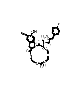 CN(C(=O)[C@H](N)Cc1ccc(F)cc1)[C@H]1CCCCNC(=O)CCCNC(=O)C(Cc2ccc(O)c(C(C)(C)C)c2)NC1=O